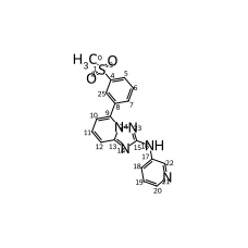 CS(=O)(=O)c1cccc(-c2cccc3nc(Nc4cccnc4)nn23)c1